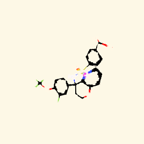 O=C(O)c1ccc(S(=O)(=O)NC2(c3ccc(OC(F)(F)F)c(F)c3)CCOc3cccnc32)cc1